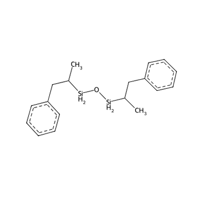 CC(Cc1ccccc1)[SiH2]O[SiH2]C(C)Cc1ccccc1